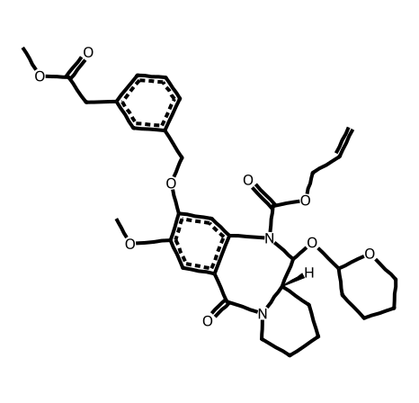 C=CCOC(=O)N1c2cc(OCc3cccc(CC(=O)OC)c3)c(OC)cc2C(=O)N2CCCC[C@H]2C1OC1CCCCO1